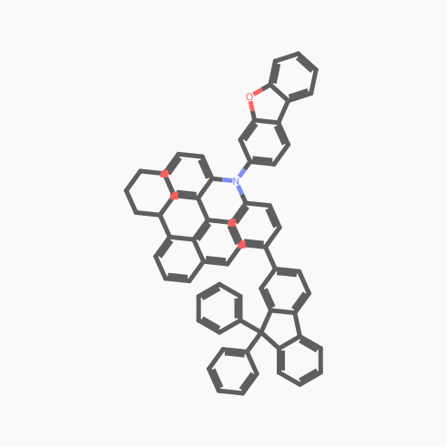 c1ccc(C2(c3ccccc3)c3ccccc3-c3ccc(-c4ccc(N(c5ccc6c(c5)oc5ccccc56)c5ccccc5-c5cccc6cccc(C7CCCCC7)c56)cc4)cc32)cc1